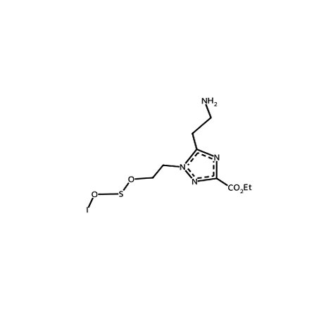 CCOC(=O)c1nc(CCN)n(CCOSOI)n1